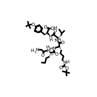 CCCC[C@H](NC(=O)CN)C(=O)N[C@@H](CCCCNC(=O)OC(C)(C)C)C(=O)N[C@@H](CC(C)C)C(=O)N[C@@H](Cc1ccc(OC(C)(C)C)cc1)C(=O)O